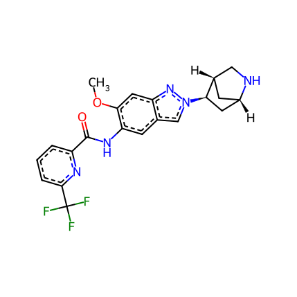 COc1cc2nn([C@@H]3C[C@@H]4C[C@H]3CN4)cc2cc1NC(=O)c1cccc(C(F)(F)F)n1